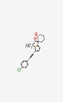 O=C(O)C[C@]1(c2ccc(C#Cc3ccc(Cl)cc3)s2)CCCCS1(=O)=O